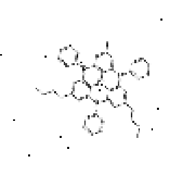 CCCCc1cc2c3c(c1)P(c1ccccc1)c1cc(CCCC)cc4c1N3c1c(cc(C)cc1P4c1ccccc1)P2c1ccccc1